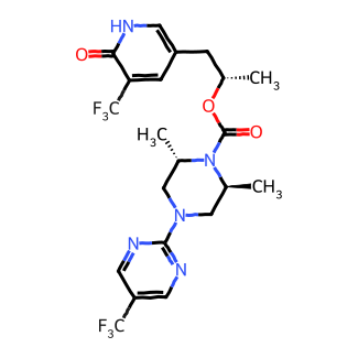 C[C@@H](Cc1c[nH]c(=O)c(C(F)(F)F)c1)OC(=O)N1[C@@H](C)CN(c2ncc(C(F)(F)F)cn2)C[C@@H]1C